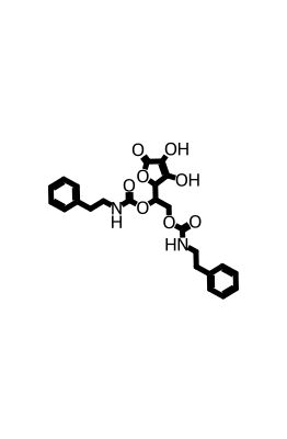 O=C(NCCc1ccccc1)OCC(OC(=O)NCCc1ccccc1)C1OC(=O)C(O)=C1O